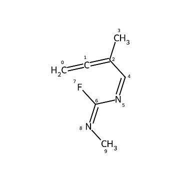 C=C=C(C)/C=N\C(F)=N/C